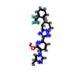 COc1nc(-c2nc3n(n2)CC[C@H](c2ccccc2C(F)(F)F)C3)ccc1-n1cnc(C)c1